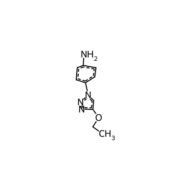 CCOc1cn(-c2ccc(N)cc2)nn1